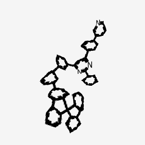 c1ccc(-c2nc(-c3ccc(-c4cccnc4)cc3)cc(-c3cccc(-c4cccc(-c5ccc6c(c5)-c5ccccc5C65c6ccccc6-c6ccccc65)c4)c3)n2)cc1